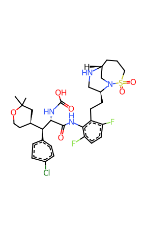 CC1(C)C[C@@H]([C@H](c2ccc(Cl)cc2)[C@H](NC(=O)O)C(=O)Nc2c(F)ccc(F)c2CC[C@H]2CN[C@@H]3CCCS(=O)(=O)N2C3)CCO1